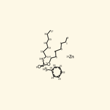 CCCCCCCOP(=O)(SCCCCCCC)Sc1ccccc1.[Zn]